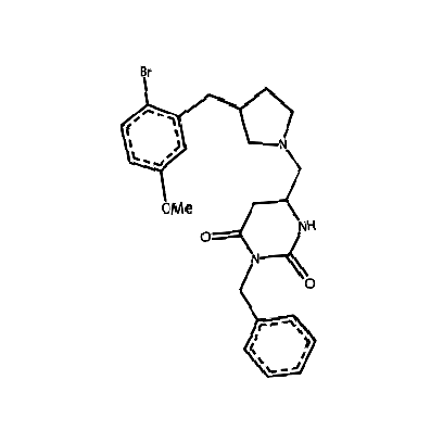 COc1ccc(Br)c(CC2CCN(CC3CC(=O)N(Cc4ccccc4)C(=O)N3)C2)c1